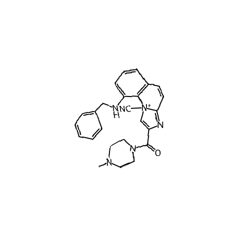 CN1CCN(C(=O)C2=C[N+]3(C#N)C(=N2)C=Cc2cccc(NCc4ccccc4)c23)CC1